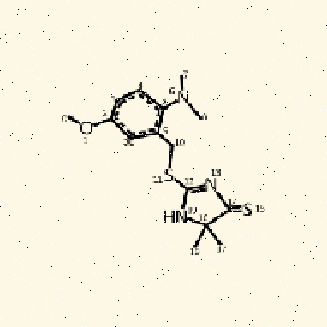 COc1ccc(N(C)C)c(CSC2=NC(=S)C(C)(C)N2)c1